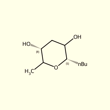 CCCC[C@@H]1OC(C)[C@H](O)CC1O